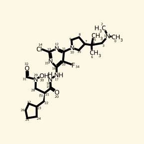 CN(C)CC(C)(C)C1CCN(c2nc(Cl)nc(NNC(=O)[C@@H](CC3CCCC3)CN(O)C=O)c2F)C1